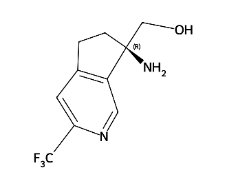 N[C@]1(CO)CCc2cc(C(F)(F)F)ncc21